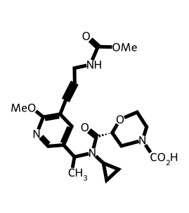 COC(=O)NCC#Cc1cc(C(C)N(C(=O)[C@H]2CN(C(=O)O)CCO2)C2CC2)cnc1OC